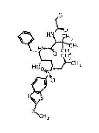 CSc1nc2ccc(S(=O)(=O)N(CC(C)C)C[C@H](O)[C@H](Cc3ccccc3)NC(=O)[C@@H](NC(=O)CCl)C(C)(C)C)cc2s1